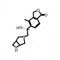 Cc1c([C@@H](O)CN2CC3CNC3C2)ccc2c1COC2=O